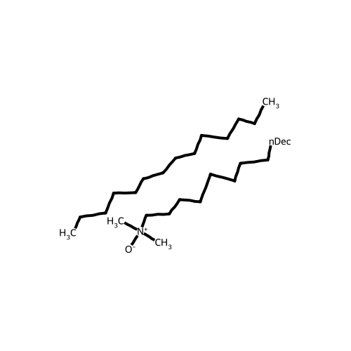 CCCCCCCCCCCCCC.CCCCCCCCCCCCCCCCCC[N+](C)(C)[O-]